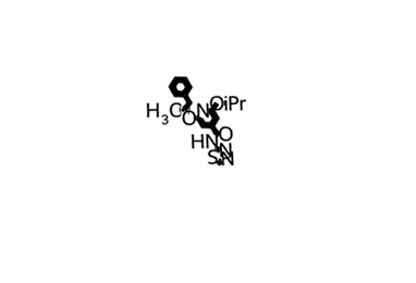 CC(C)Oc1cc(C(=O)Nc2nncs2)cc(O[C@@H](C)Cc2ccccc2)n1